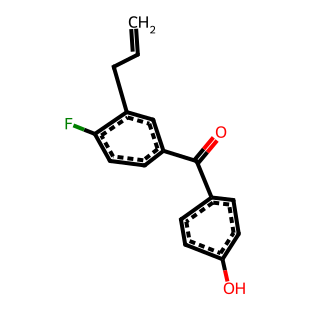 C=CCc1cc(C(=O)c2ccc(O)cc2)ccc1F